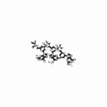 CC(C)N1CC(COP(=O)(N(C)C)N2CC(COP(=O)(N(C)C)N3CC(CO[PH](=O)N(C)C)OC(n4cnc5c(=O)[nH]c(N)nc54)C3)OC(n3cnc4c(N)ncnc43)C2)OC(n2cnc3c(=O)[nH]c(N)nc32)C1